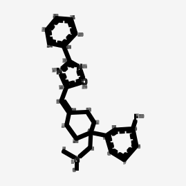 CN(C)CC1(c2cccc(F)c2)CCC(=Cc2nc(-c3ccccc3)no2)CC1